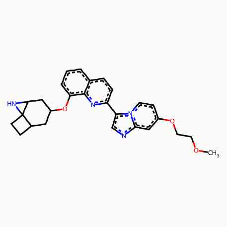 COCCOc1ccn2c(-c3ccc4cccc(OC5CC6CCC67NC7C5)c4n3)cnc2c1